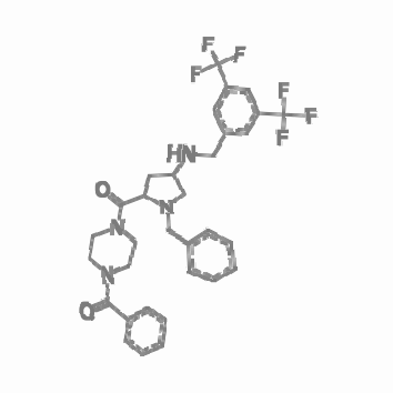 O=C(c1ccccc1)N1CCN(C(=O)C2CC(NCc3cc(C(F)(F)F)cc(C(F)(F)F)c3)CN2Cc2ccccc2)CC1